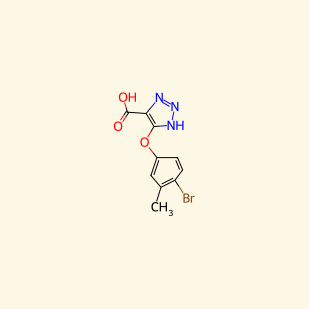 Cc1cc(Oc2[nH]nnc2C(=O)O)ccc1Br